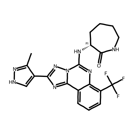 Cc1n[nH]cc1-c1nc2c3cccc(C(F)(F)F)c3nc(N[C@@H]3CCCCNC3=O)n2n1